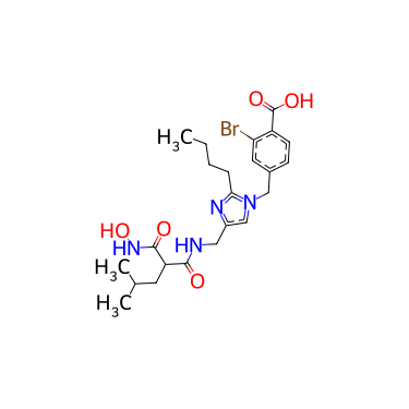 CCCCc1nc(CNC(=O)C(CC(C)C)C(=O)NO)cn1Cc1ccc(C(=O)O)c(Br)c1